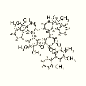 Cc1ccccc1-c1cc(C)c(C)c(Oc2cc(-c3cccc4c3-c3ccccc3C4(C)C)cc(Oc3cc(-c4cccc5c4-c4ccccc4C5(C)C)cc(C)c3C)c2C)c1